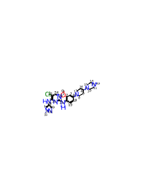 COc1cc(N2CCC(N3CCN(C)CC3)CC2)ccc1Nc1ncc(Cl)c(Nc2cnn(C)c2)n1